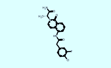 C[C@H](C(N)=O)n1ccc2c(NC(=O)Cc3ccc(Cl)c(F)c3)cccc2c1=O